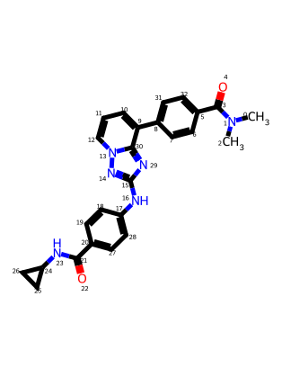 CN(C)C(=O)c1ccc(-c2cccn3nc(Nc4ccc(C(=O)NC5CC5)cc4)nc23)cc1